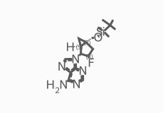 CC(C)(C)[Si](C)(C)OC[C@]12C[C@@H](F)C(n3cnc4c(N)ncnc43)[C@H]1C2